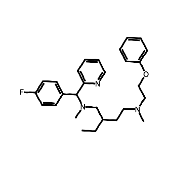 CCC(CCN(C)CCOc1ccccc1)CN(C)C(c1ccc(F)cc1)c1ccccn1